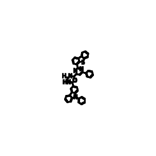 N=C(OC(N)c1cc(-c2ccccc2)nc(-c2cccc3c2sc2ccccc23)n1)c1ccc2c(c1)c1ccccc1n2-c1ccccc1